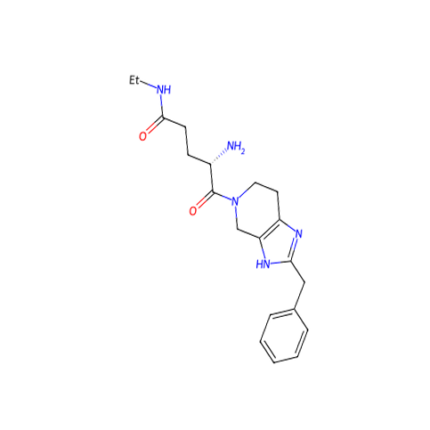 CCNC(=O)CC[C@H](N)C(=O)N1CCc2nc(Cc3ccccc3)[nH]c2C1